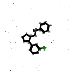 Brc1cccc(C2=CCCC2C[Se]c2ccccc2)c1